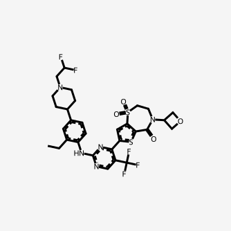 CCc1cc(C2CCN(CC(F)F)CC2)ccc1Nc1ncc(C(F)(F)F)c(-c2cc3c(s2)C(=O)N(C2COC2)CCS3(=O)=O)n1